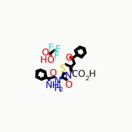 NC(C(=O)NC1C(=O)N2C(C(=O)O)=C(CC(=O)c3ccccc3)CSC12)c1ccccc1.O=C(O)C(F)(F)F